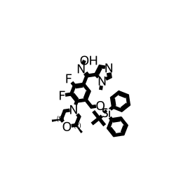 C[C@@H]1CN(c2c(CO[Si](c3ccccc3)(c3ccccc3)C(C)(C)C)cc(C(=NO)c3cncn3C)c(F)c2F)C[C@H](C)O1